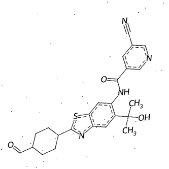 CC(C)(O)c1cc2nc(C3CCC(C=O)CC3)sc2cc1NC(=O)c1cncc(C#N)c1